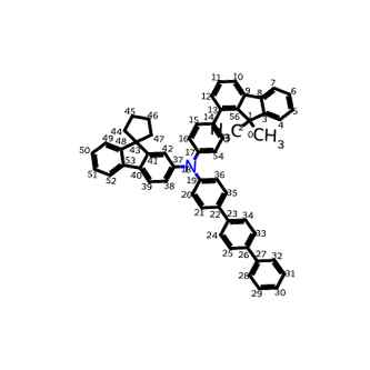 CC1(C)c2ccccc2-c2cccc(-c3ccc(N(c4ccc(-c5ccc(-c6ccccc6)cc5)cc4)c4ccc5c(c4)C4(CCCC4)c4ccccc4-5)cc3)c21